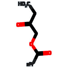 CCCC(=O)OCC(=O)CC(=O)O